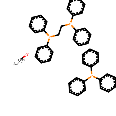 O=[N+]([O-])[O-].[Au+].c1ccc(P(CCP(c2ccccc2)c2ccccc2)c2ccccc2)cc1.c1ccc(P(c2ccccc2)c2ccccc2)cc1